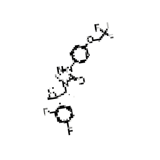 C[C@@H](n1nnn(-c2ccc(OCC(F)(F)F)cc2)c1=O)[C@@]1(c2ccc(F)cc2F)CO1